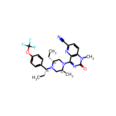 CC[C@@H]1CN(c2nc(=O)n(C)c3ccc(C#N)nc23)[C@@H](C)CN1[C@H](CC)c1ccc(OC(F)(F)F)cc1